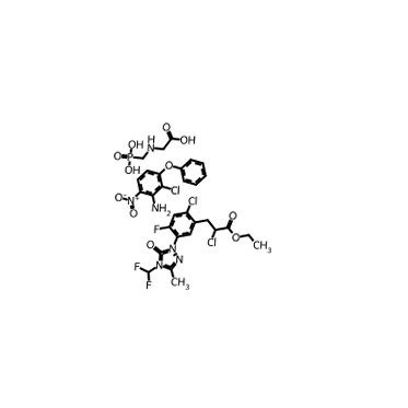 CCOC(=O)C(Cl)Cc1cc(-n2nc(C)n(C(F)F)c2=O)c(F)cc1Cl.Nc1c([N+](=O)[O-])ccc(Oc2ccccc2)c1Cl.O=C(O)CNCP(=O)(O)O